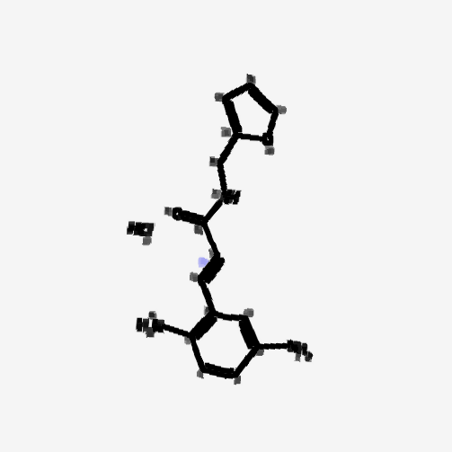 Cl.Nc1ccc(N)c(/C=C/C(=O)NCc2ccco2)c1